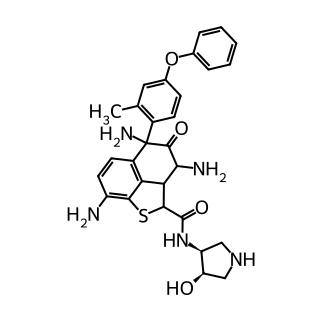 Cc1cc(Oc2ccccc2)ccc1C1(N)C(=O)C(N)C2c3c1ccc(N)c3SC2C(=O)N[C@H]1CNC[C@H]1O